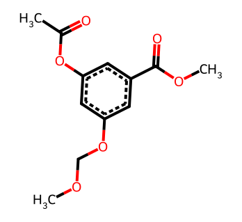 COCOc1cc(OC(C)=O)cc(C(=O)OC)c1